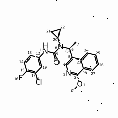 COc1ncc([C@H](C)N(C(=O)Nc2ccc(F)c(Cl)c2)C2CC2)c2ccccc12